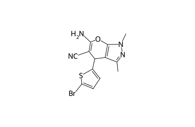 Cc1nn(C)c2c1C(c1ccc(Br)s1)C(C#N)=C(N)O2